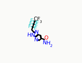 NC(=O)c1cnc2[nH]c(CC(F)(F)C(F)(F)C(F)(F)C(F)(F)F)nc2c1